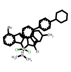 CCC1=Cc2c(-c3ccc(C4CCCCC4)cc3)cccc2[CH]1[Zr]([Cl])([Cl])([CH]1C(C2CCC(C)CC2)=Cc2c(C(C)CC)cccc21)[SiH](C)C